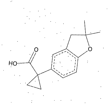 CC1(C)Cc2cc(C3(C(=O)O)CC3)ccc2O1